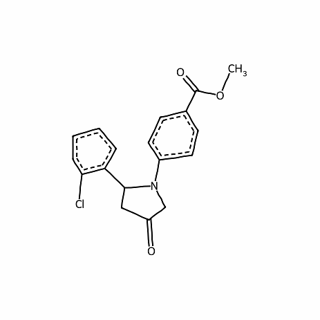 COC(=O)c1ccc(N2CC(=O)CC2c2ccccc2Cl)cc1